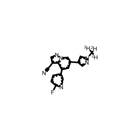 [2H]C([2H])([2H])n1cc(-c2cc(-c3ccc(F)nc3)c3c(C#N)cnn3c2)cn1